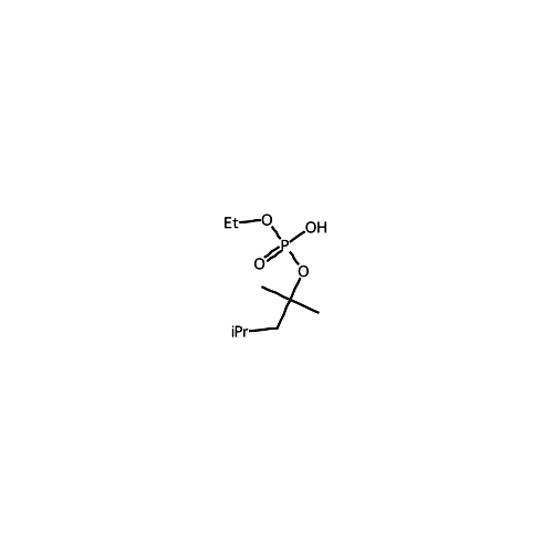 CCOP(=O)(O)OC(C)(C)CC(C)C